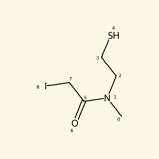 CN(CCS)C(=O)CI